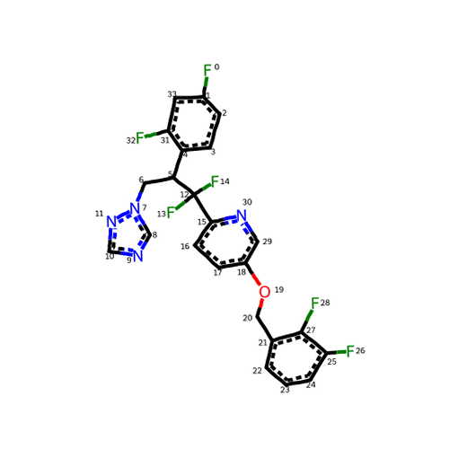 Fc1ccc(C(Cn2cncn2)C(F)(F)c2ccc(OCc3cccc(F)c3F)cn2)c(F)c1